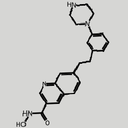 O=C(NO)c1cnc2cc(CCc3cccc(N4CCNCC4)c3)ccc2c1